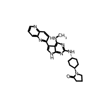 CNc1nc(N[C@H]2CC[C@H](N3CCCC3=O)CC2)nc2[nH]cc(-c3ccc4ncccc4n3)c12